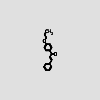 C=CCOc1ccc(C(=O)/C=C/c2ccccc2)cc1